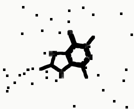 Cc1nn(C)c(=O)c2c1NC(C)N2